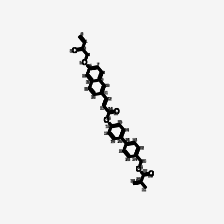 C=CC(=O)COc1ccc2cc(/C=C/C(=O)Oc3ccc(-c4ccc(COC(=O)C(=C)C)cc4)cc3)ccc2c1